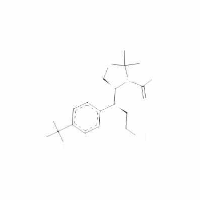 CC1(C)OC[C@H]([C@@H](CCO)c2ccc(C(F)(F)F)cc2)N1C(=O)O